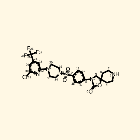 O=C1OC2(CCNCC2)CN1c1ccc(S(=O)(=O)N2CCN(c3cc(C(F)(F)F)cc(Cl)n3)CC2)cc1